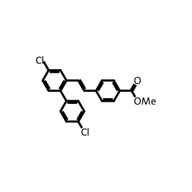 COC(=O)c1ccc(/C=C/c2cc(Cl)ccc2-c2ccc(Cl)cc2)cc1